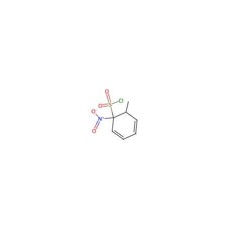 CC1C=CC=CC1([N+](=O)[O-])S(=O)(=O)Cl